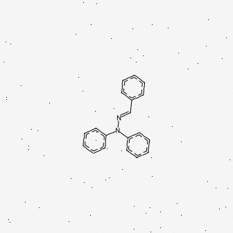 C(=NN(c1ccccc1)c1ccccc1)c1ccccc1